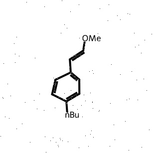 CCCCc1ccc(C=COC)cc1